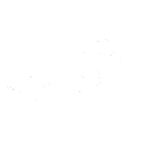 COC(=O)Nc1ccc(-c2cnc(C(CC3CC3)c3ccc(-c4cc(Cl)ccc4-n4cc(Cl)nn4)c[n+]3[O-])[nH]2)cc1